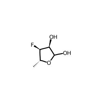 C[C@H]1OC(O)[C@H](O)[C@@H]1F